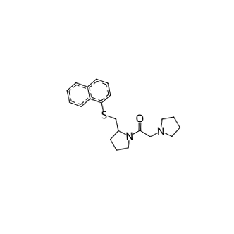 O=C(CN1CCCC1)N1CCCC1CSc1cccc2ccccc12